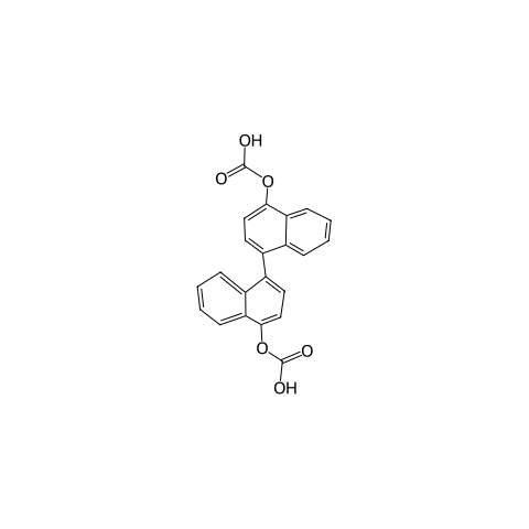 O=C(O)Oc1ccc(-c2ccc(OC(=O)O)c3ccccc23)c2ccccc12